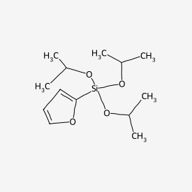 CC(C)O[Si](OC(C)C)(OC(C)C)c1ccco1